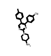 Cc1ccc(-c2cnc(N3CCC(N)CC3)nc2-c2ccc(C#N)cc2)cc1